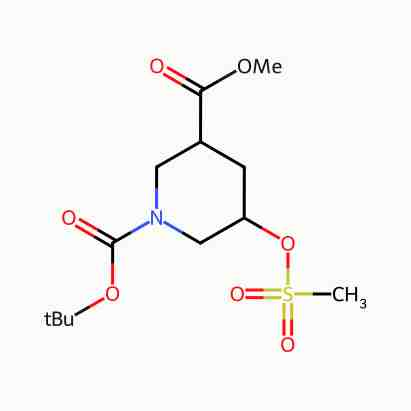 COC(=O)C1CC(OS(C)(=O)=O)CN(C(=O)OC(C)(C)C)C1